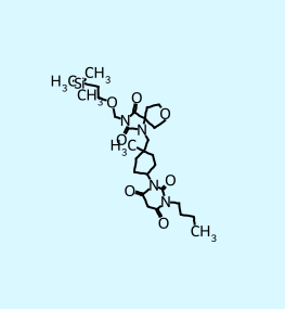 CCCCN1C(=O)CC(=O)N(C2CCC(C)(CN3C(=O)N(COCC[Si](C)(C)C)C(=O)C34CCOCC4)CC2)C1=O